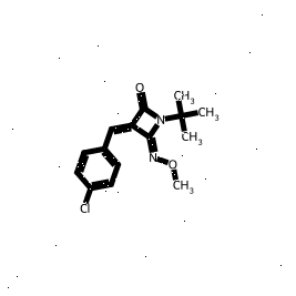 CON=C1C(=Cc2ccc(Cl)cc2)C(=O)N1C(C)(C)C